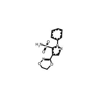 NS(=O)(=O)c1c(C2=NOCCO2)cnn1-c1ccccc1